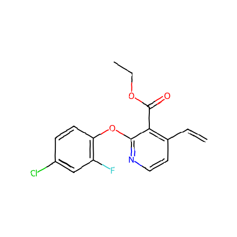 C=Cc1ccnc(Oc2ccc(Cl)cc2F)c1C(=O)OCC